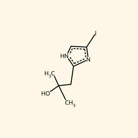 CC(C)(O)Cc1nc(I)c[nH]1